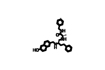 C[C@H](NC[C@@H](CCc1ccccc1)NCc1ccc2cc(O)ccc2c1)C(=O)NCc1cc[c]cc1